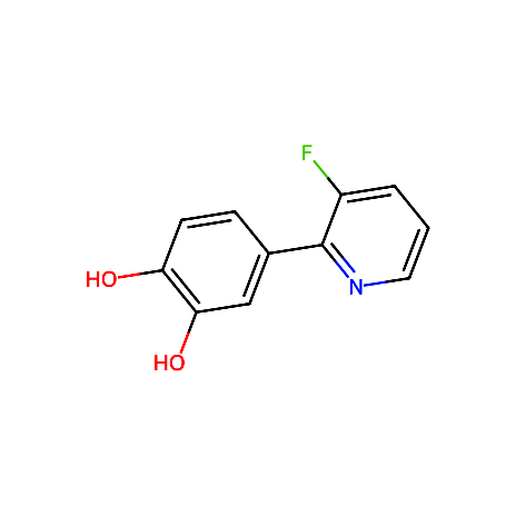 Oc1ccc(-c2ncccc2F)cc1O